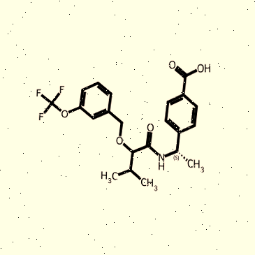 CC(C)C(OCc1cccc(OC(F)(F)F)c1)C(=O)N[C@@H](C)c1ccc(C(=O)O)cc1